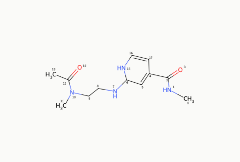 CNC(=O)C1=CC(NCCN(C)C(C)=O)NC=C1